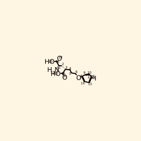 N[C@@H](C[C@H](CCCOc1ccc([125I])cc1)C(=O)O)C(=O)O